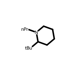 CCCN1CCCCC1C(C)(C)C